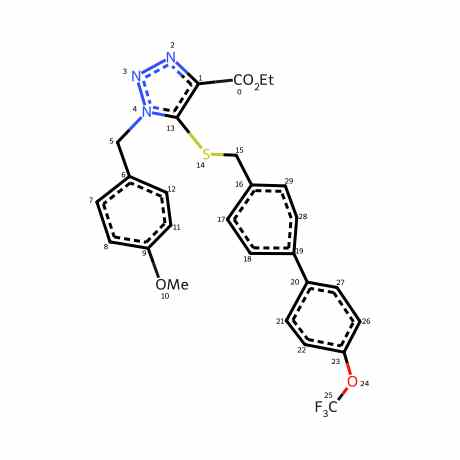 CCOC(=O)c1nnn(Cc2ccc(OC)cc2)c1SCc1ccc(-c2ccc(OC(F)(F)F)cc2)cc1